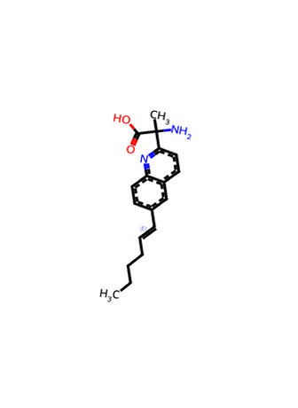 CCCC/C=C/c1ccc2nc(C(C)(N)C(=O)O)ccc2c1